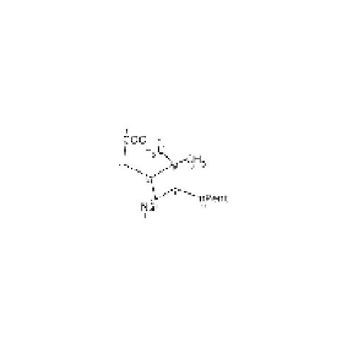 CCCCCC1CC(CC(=O)[O-])C1(C)C.[Na+]